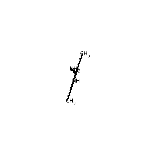 CCCCCCCCCCCCCCNCCCCN(CCCCCCCCCCCCCC)CC(O)CN